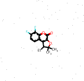 CCC1c2c(c(=O)oc3c(F)c(F)ccc23)OC1(C)C(F)(F)F